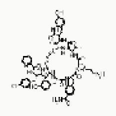 CNCCCC[C@@H]1NC(=O)[C@@H](Cc2ccc(C(N)=O)cc2)NC(=O)[C@H](Cc2ccc(O)cc2)NC(=O)[C@H](NC(=O)[C@H](Cc2ccc(Cl)cc2)NC(=O)c2ccccn2)CSSC[C@@H](C(=O)N[C@H](Cc2ccc(O)cc2)C(N)=O)NC(=O)[C@H]([C@@H](C)O)NC1=O